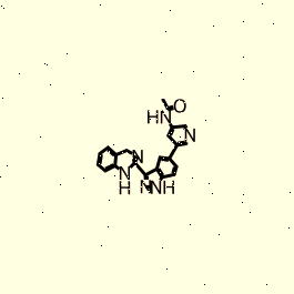 CC(=O)Nc1cncc(-c2ccc3[nH]nc(C4=NCc5ccccc5N4)c3c2)c1